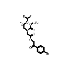 C[C@@H](CN(CC(=O)OCC(=O)c1ccc(Br)cc1)C(=O)OC(C)(C)C)OC(F)F